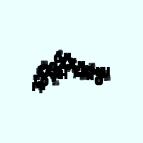 COc1ncc(-c2ccc3nc(NC(C)=O)cn3n2)cc1C(=O)NC(C)c1ccccc1OC(F)(F)F